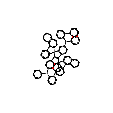 c1ccc(-c2ccccc2N(c2ccccc2)c2ccc3c(c2)C2(C4=C3C3(c5cc(N(c6ccccc6)c6ccccc6-c6ccccc6)ccc54)c4ccccc4-c4c3ccc3ccccc43)c3ccccc3-c3c2ccc2ccccc32)cc1